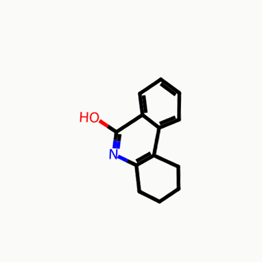 Oc1nc2c(c3ccccc13)CCCC2